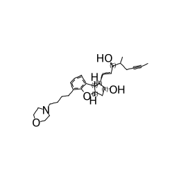 CC#CCC(C)[C@H](O)C=C[C@@H]1[C@H]2c3cccc(CCCCN4CCOCC4)c3O[C@H]2C[C@H]1O